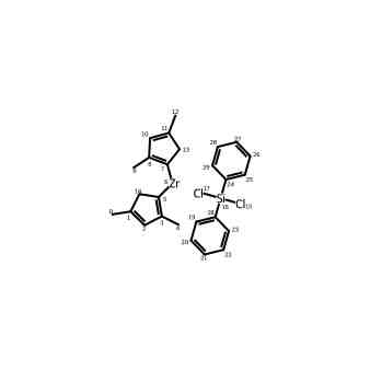 CC1=CC(C)=[C]([Zr][C]2=C(C)C=C(C)C2)C1.Cl[Si](Cl)(c1ccccc1)c1ccccc1